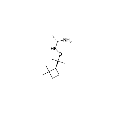 C[C@H](N)BOC(C)(C)[C@H]1CCC1(C)C